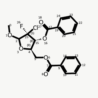 COC1O[C@H](COC(=O)c2ccccc2)[C@@H](OC(=O)c2ccccc2)[C@]1(F)Cl